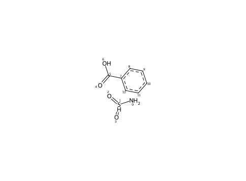 N[SH](=O)=O.O=C(O)c1ccccc1